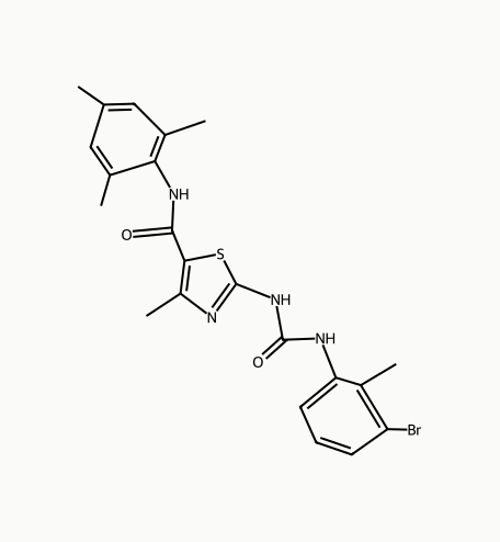 Cc1cc(C)c(NC(=O)c2sc(NC(=O)Nc3cccc(Br)c3C)nc2C)c(C)c1